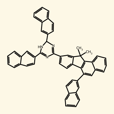 CC1(C)c2cc(C3=NC(c4ccc5ccccc5c4)NC(c4ccc5ccccc5c4)=N3)ccc2-c2c(-c3ccc4ccccc4c3)cc3ccccc3c21